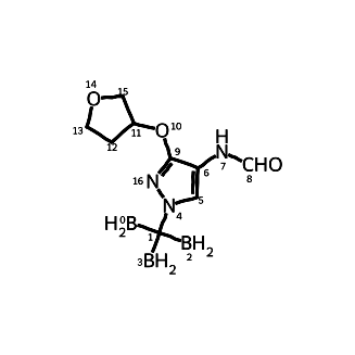 BC(B)(B)n1cc(NC=O)c(OC2CCOC2)n1